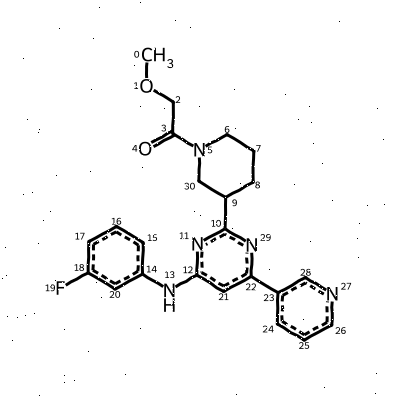 COCC(=O)N1CCCC(c2nc(Nc3cccc(F)c3)cc(-c3cccnc3)n2)C1